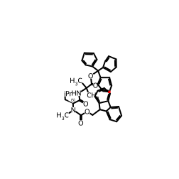 CC(C)C[C@@H](C(=O)NC(C)(C)C(=O)OC(c1ccccc1)(c1ccccc1)c1ccccc1)N(C)C(=O)OCC1c2ccccc2-c2ccccc21